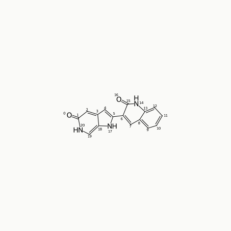 O=c1cc2cc(-c3cc4ccccc4[nH]c3=O)[nH]c2c[nH]1